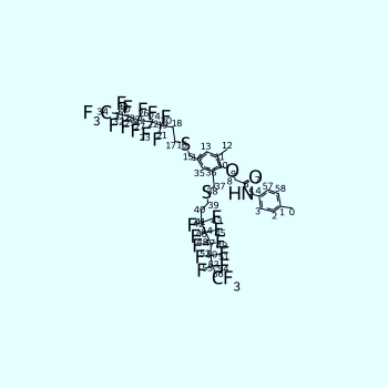 Cc1ccc(NC(=O)COc2c(C)cc(CSCCC(F)(F)C(F)(F)C(F)(F)C(F)(F)C(F)(F)C(F)(F)F)cc2CSCCC(F)(F)C(F)(F)C(F)(F)C(F)(F)C(F)(F)C(F)(F)F)cc1